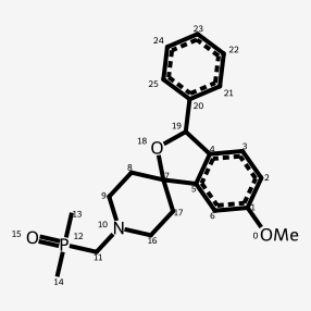 COc1ccc2c(c1)C1(CCN(CP(C)(C)=O)CC1)OC2c1ccccc1